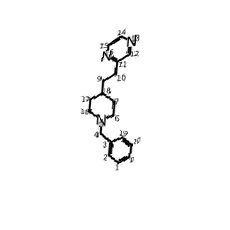 c1ccc(CN2CCC(CCc3cnccn3)CC2)cc1